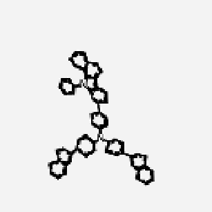 c1ccc(-n2c3cc(-c4ccc(N(c5ccc(-c6ccc7ccccc7c6)cc5)c5ccc(-c6ccc7ccccc7c6)cc5)cc4)ccc3c3ccc4ccccc4c32)cc1